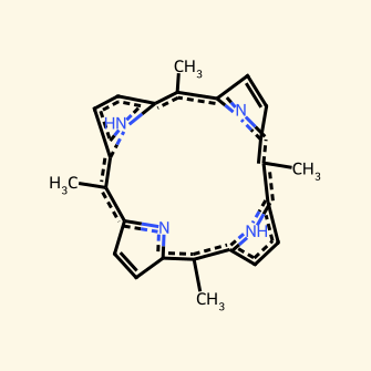 Cc1c2nc(c(C)c3ccc([nH]3)c(C)c3nc(c(C)c4ccc1[nH]4)C=C3)C=C2